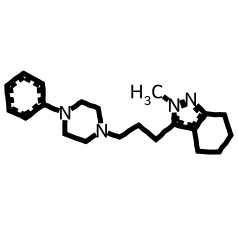 Cn1nc2c(c1CCCN1CCN(c3ccccc3)CC1)CCCC2